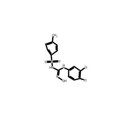 Cc1ccc(S(=O)(=O)N/C(=N/O)Nc2ccc(Cl)c(Cl)c2)cc1